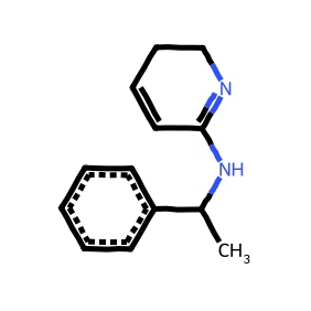 CC(NC1=NCCC=C1)c1ccccc1